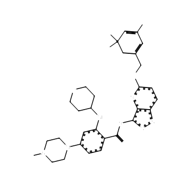 CN1CCN(c2ccc(C(=O)Nc3n[nH]c4ccc(OCC5=CC(F)=CC(C)(F)C5)nc34)c(NC3CCOCC3)c2)CC1